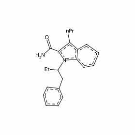 CCCc1c(C(N)=O)n(C(CC)Cc2ccccc2)c2ccccc12